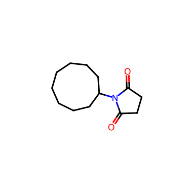 O=C1CCC(=O)N1C1CCCCCCCC1